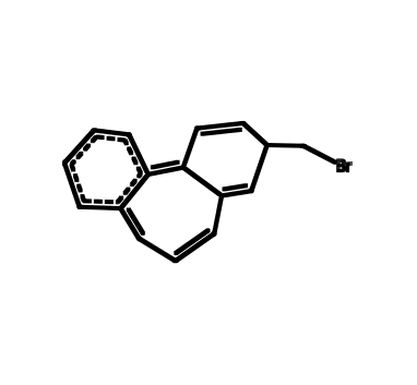 BrCC1C=CC2=c3ccccc3=CC=CC2=C1